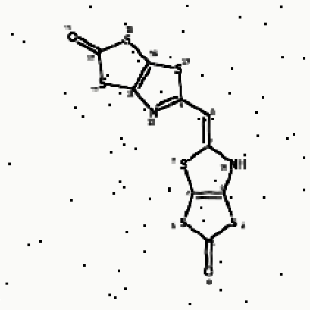 O=c1sc2c(s1)S/C(=C\c1nc3sc(=O)sc3s1)N2